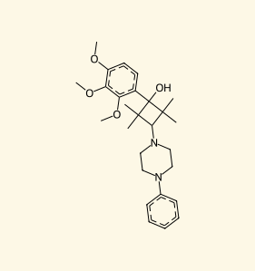 COc1ccc(C2(O)C(C)(C)C(N3CCN(c4ccccc4)CC3)C2(C)C)c(OC)c1OC